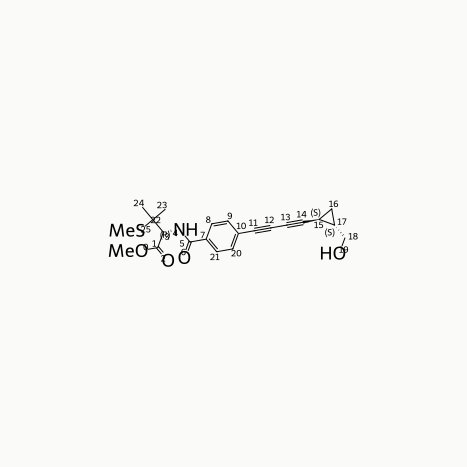 COC(=O)[C@@H](NC(=O)c1ccc(C#CC#C[C@H]2C[C@@H]2CO)cc1)C(C)(C)SC